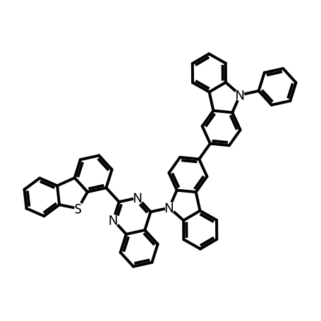 c1ccc(-n2c3ccccc3c3cc(-c4ccc5c(c4)c4ccccc4n5-c4nc(-c5cccc6c5sc5ccccc56)nc5ccccc45)ccc32)cc1